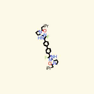 CC(C)CC(=O)N1CCC[C@H]1c1nc(F)c(-c2ccc(-c3ccc(-c4[nH]c([C@@H]5CCCN5C(=O)CC(C)C)nc4F)cc3)cc2)[nH]1